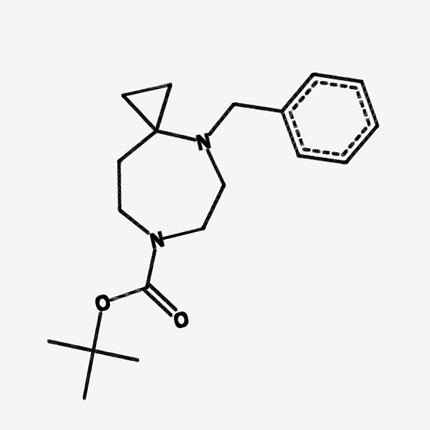 CC(C)(C)OC(=O)N1CCN(Cc2ccccc2)C2(CC1)CC2